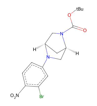 CC(C)(C)OC(=O)N1C[C@H]2C[C@@H]1CN2c1ccc([N+](=O)[O-])c(Br)c1